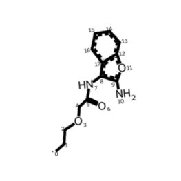 [CH2]CCOCC(=O)Nc1c(N)oc2ccccc12